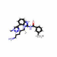 C[C@H](CCCCN)n1c(NC(=O)c2cccc(C(=O)O)c2)nc2cccc(-c3cn(C)nn3)c21